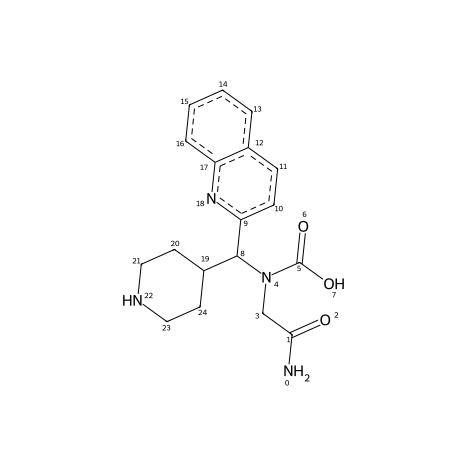 NC(=O)CN(C(=O)O)C(c1ccc2ccccc2n1)C1CCNCC1